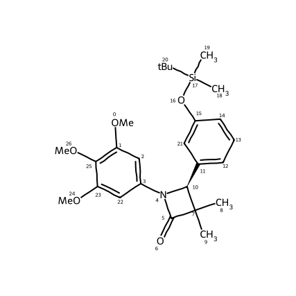 COc1cc(N2C(=O)C(C)(C)[C@@H]2c2cccc(O[Si](C)(C)C(C)(C)C)c2)cc(OC)c1OC